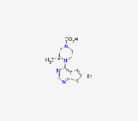 CCc1cc2c(N3CCN(C(=O)O)C[C@H]3C)ncnc2s1